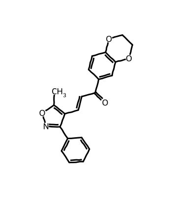 Cc1onc(-c2ccccc2)c1C=CC(=O)c1ccc2c(c1)OCCO2